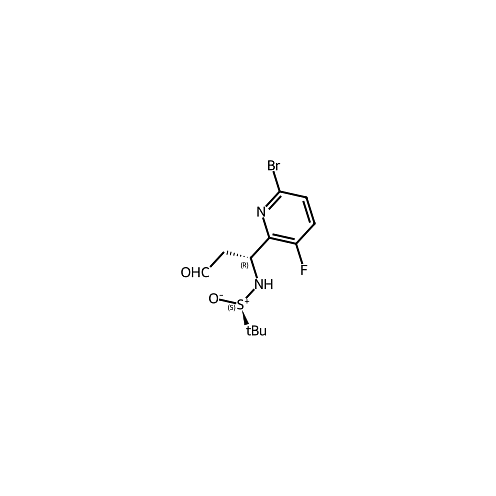 CC(C)(C)[S@@+]([O-])N[C@H](CC=O)c1nc(Br)ccc1F